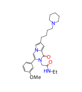 CCNC(=O)Cn1c(-c2cccc(OC)c2)cn2cc(CCCCN3CCCCC3)cc2c1=O